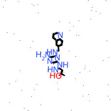 C/C(O)=C/C(=N)Nc1cnc(N)c(NCc2ccc3ncccc3c2)n1